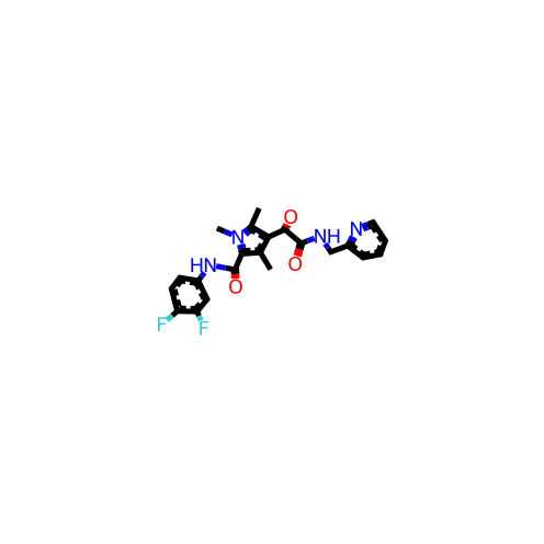 Cc1c(C(=O)C(=O)NCc2ccccn2)c(C)n(C)c1C(=O)Nc1ccc(F)c(F)c1